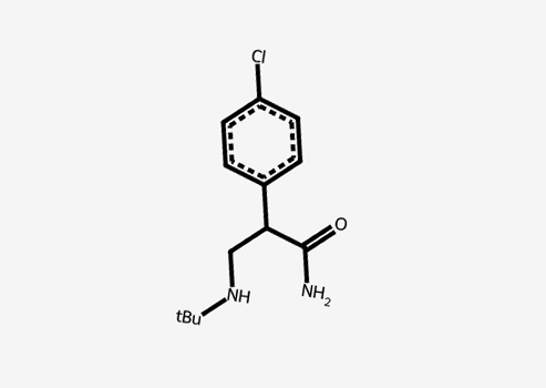 CC(C)(C)NCC(C(N)=O)c1ccc(Cl)cc1